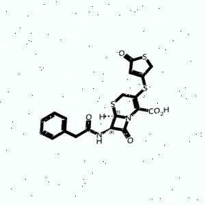 O=C(Cc1ccccc1)N[C@@H]1C(=O)N2C(C(=O)O)=C(SC3=CC(=O)SC3)CS[C@H]12